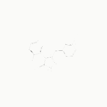 Cc1ccccc1-n1c(Cc2cccc(Cl)c2)n[nH]c1=S